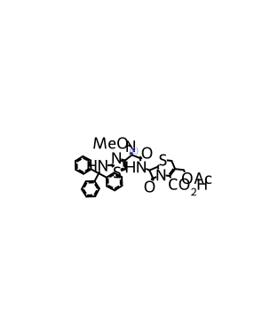 CO/N=C(/C(=O)NC1C(=O)N2C(C(=O)O)=C(COC(C)=O)CSC12)c1csc(NC(c2ccccc2)(c2ccccc2)c2ccccc2)n1